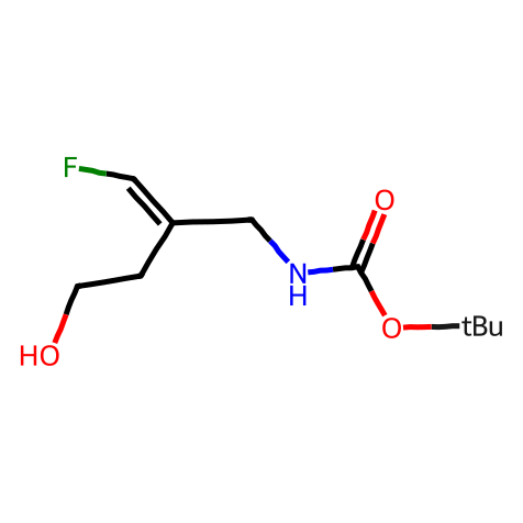 CC(C)(C)OC(=O)NCC(=CF)CCO